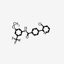 COc1cc(NC(=O)c2ccc(-c3ncccc3Cl)cc2)cc(C(F)(F)F)c1